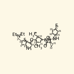 CCN(CC)Cc1cc2nccc(Oc3c(C)cc(NC(=O)C4(C(=O)Nc5ccc(F)cc5)CC4)cc3C)c2s1